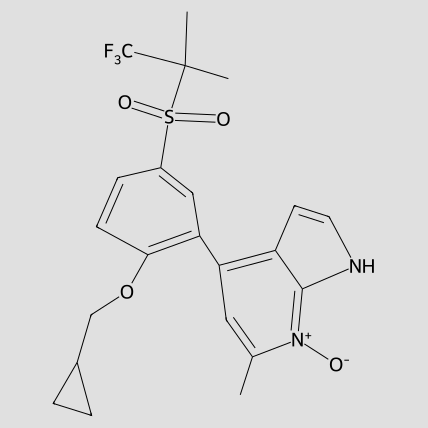 Cc1cc(-c2cc(S(=O)(=O)C(C)(C)C(F)(F)F)ccc2OCC2CC2)c2cc[nH]c2[n+]1[O-]